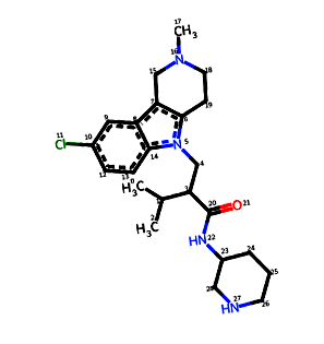 CC(C)C(Cn1c2c(c3cc(Cl)ccc31)CN(C)CC2)C(=O)NC1CCCNC1